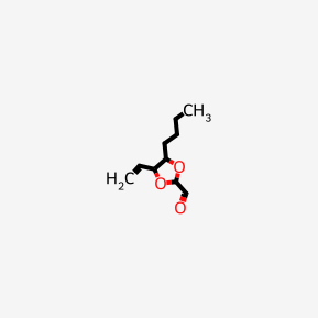 C=CC1OC(C=O)OC1CCCC